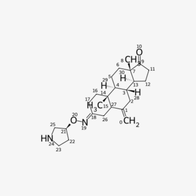 C=C1C[C@@H]2[C@H](CC[C@]3(C)C(=O)CC[C@@H]23)[C@@]2(C)CCC(=NO[C@H]3CCNC3)CC12